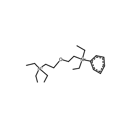 CC[N+](CC)(CC)CCOCC[N+](CC)(CC)c1ccccc1